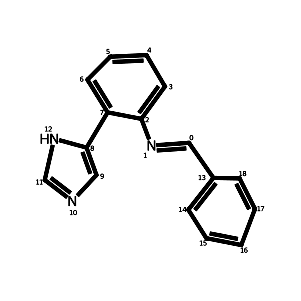 C(=Nc1ccccc1-c1cnc[nH]1)c1ccccc1